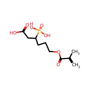 C=C(C)C(=O)OCCCC(CC(=O)O)P(=O)(O)O